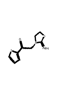 N=C1SCCN1CC(=O)c1cccs1